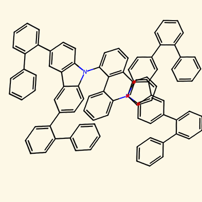 c1ccc(-c2ccccc2-c2ccc3c(c2)c2cc(-c4ccccc4-c4ccccc4)ccc2n3-c2ccccc2-c2c(-c3ccccc3)cccc2-n2c3ccc(-c4ccccc4-c4ccccc4)cc3c3cc(-c4ccccc4-c4ccccc4)ccc32)cc1